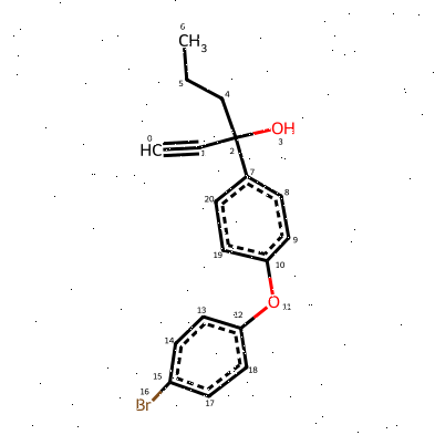 C#CC(O)(CCC)c1ccc(Oc2ccc(Br)cc2)cc1